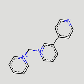 c1cc[n+](C[n+]2cccc(-c3ccncc3)c2)cc1